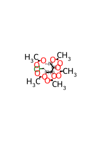 CC(=O)OC[C@H](OC(C)=O)[C@@H](OC(C)=O)[C@@H](OC(C)=O)[C@@H](CCl)OC(C)=O